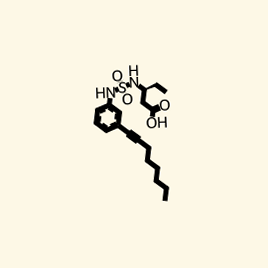 CCCCCCC#Cc1cccc(NS(=O)(=O)N[C@@H](CC)CC(=O)O)c1